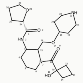 O=C(NC1CCCN(C(=O)C2(O)CCC2)C1COC1CCNCC1)[C@@H]1CCCO1